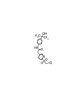 O=C(Cc1ccc(S(=O)(=O)CC2CC2)nc1)Nc1ccc(C(O)(C(F)(F)F)C(F)(F)F)cc1